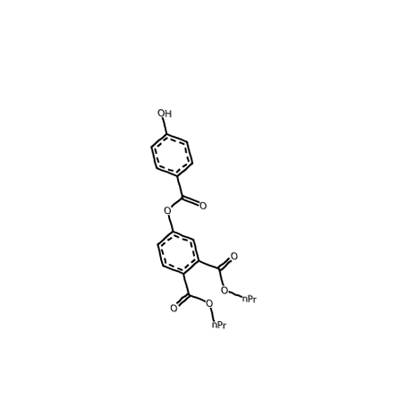 CCCOC(=O)c1ccc(OC(=O)c2ccc(O)cc2)cc1C(=O)OCCC